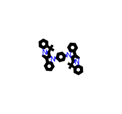 CC1(C)c2ccccc2-n2cc3c4ccccc4n(-c4ccc(-n5c6ccccc6c6cn7c(c65)C(C)(C)c5ccccc5-7)cc4)c3c21